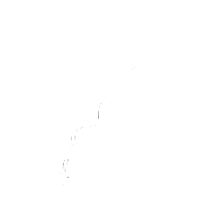 CCCCCCN=C=[Se]